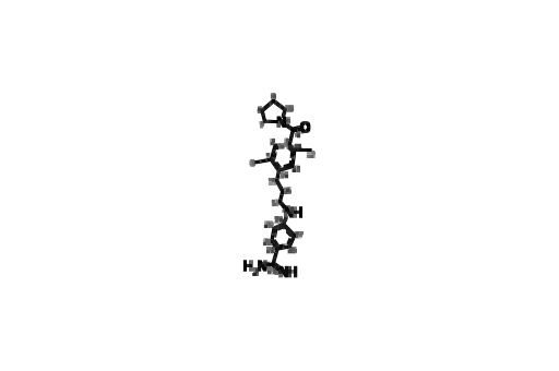 Cc1cc(C(=O)N2CCCC2)c(C)cc1CCCNc1ccc(C(=N)N)cc1